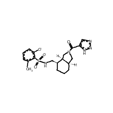 Cc1cccc(Cl)c1S(=O)(=O)NC[C@@H]1CCC[C@@H]2CN(C(=O)c3cnn[nH]3)C[C@@H]21